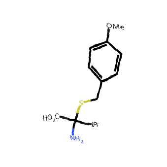 COc1ccc(CSC(N)(C(=O)O)C(C)C)cc1